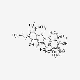 C=CCc1cc(N(C)C)c2c(c1O)C(=O)C1=C(O)C3C(CC1C2)[C@H](N(C)C)C(O)=C(C(N)=O)C3(O)O